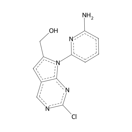 Nc1cccc(-n2c(CO)cc3cnc(Cl)nc32)n1